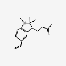 C=Cc1ccc2c(c1)C(CCC(=C)C)C(C)(C)N2C